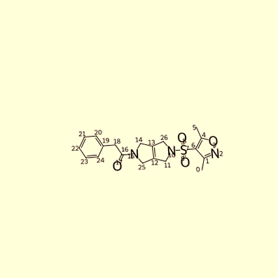 Cc1noc(C)c1S(=O)(=O)N1CC2=C(CN(C(=O)Cc3ccccc3)C2)C1